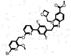 COC(=O)c1ccc2nc(Cc3cc(F)c(-c4cccc(OCc5ccc(Br)nc5OC)n4)cc3F)n(C[C@@H]3CCO3)c2c1